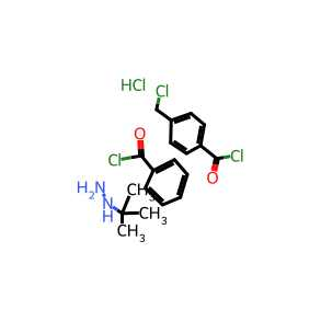 CC(C)(C)NN.Cl.O=C(Cl)c1ccc(CCl)cc1.O=C(Cl)c1ccccc1